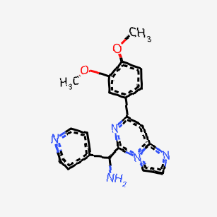 COc1ccc(-c2cc3nccn3c(C(N)c3ccncc3)n2)cc1OC